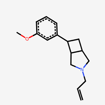 C=CCN1CC2CC(c3cccc(OC)c3)C2C1